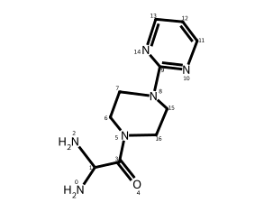 NC(N)C(=O)N1CCN(c2ncccn2)CC1